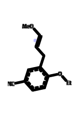 CCOc1ccc(C#N)cc1C/C=C/OC